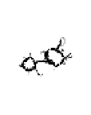 Cc1ccccc1-c1ccc(Cl)c(Cl)c1